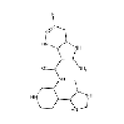 CN1NCNC1C1CCNCC1NC(=O)C1C(N)NN2CC(F)=CNC12